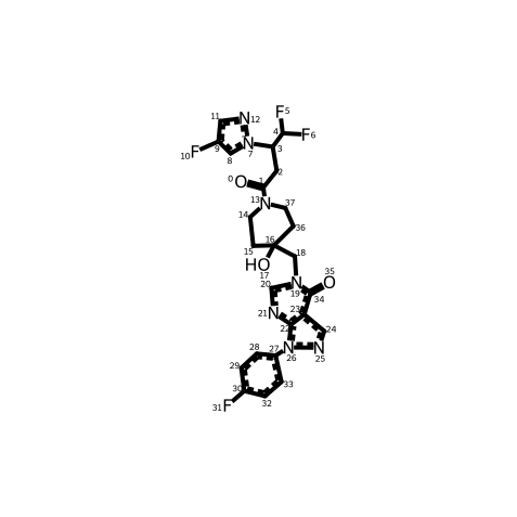 O=C(CC(C(F)F)n1cc(F)cn1)N1CCC(O)(Cn2cnc3c(cnn3-c3ccc(F)cc3)c2=O)CC1